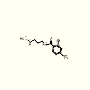 CCc1cc([N+](=O)[O-])ccc1C(=O)NCCCNC(=O)O